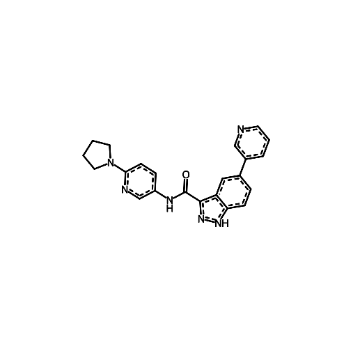 O=C(Nc1ccc(N2CCCC2)nc1)c1n[nH]c2ccc(-c3cccnc3)cc12